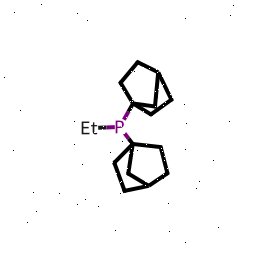 CCP(C12CCC(CC1)C2)C12CCC(CC1)C2